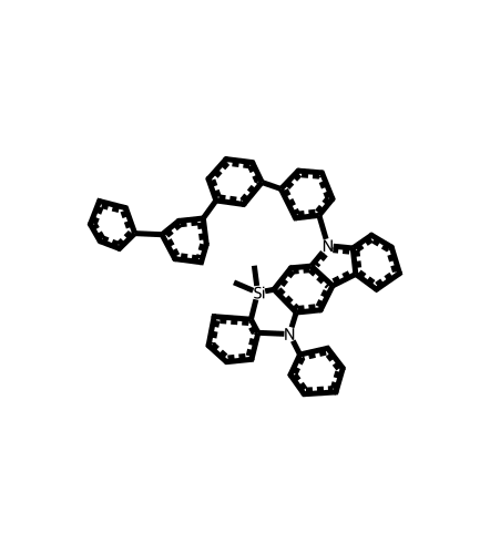 C[Si]1(C)c2ccccc2N(c2ccccc2)c2cc3c4ccccc4n(-c4cccc(-c5cccc(-c6cccc(-c7ccccc7)c6)c5)c4)c3cc21